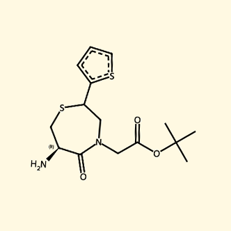 CC(C)(C)OC(=O)CN1CC(c2cccs2)SC[C@H](N)C1=O